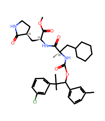 COC(=O)[C@H](C[C@@H]1CCNC1=O)NC(=O)[C@@](C)(CC1CCCCC1)NC(=O)OC(c1cccc(C)c1)C(C)(C)c1cccc(Cl)c1